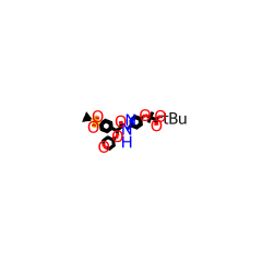 CC(C)(C)OC(=O)C(C)(C)Oc1ccc(NC(=O)C(OC2CCOCC2)c2ccc(S(=O)(=O)C3CC3)cc2)nc1